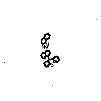 c1ccc2c(c1)Sc1ccccc1N2c1ccc(-n2nc3ccc4ccccc4c3n2)c2ccccc12